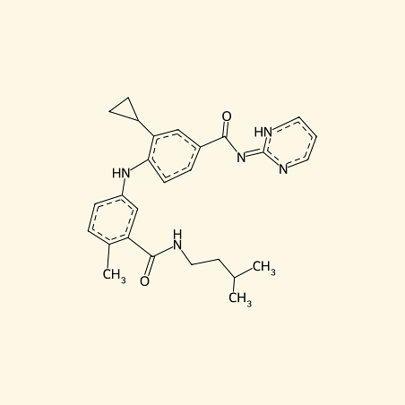 Cc1ccc(Nc2ccc(C(=O)N=c3nccc[nH]3)cc2C2CC2)cc1C(=O)NCCC(C)C